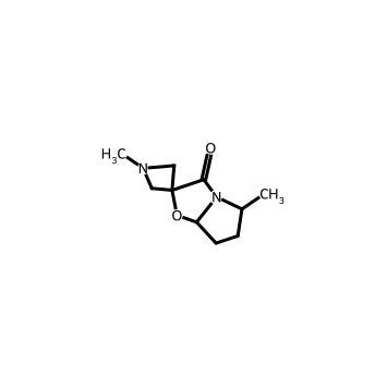 CC1CCC2OC3(CN(C)C3)C(=O)N12